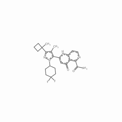 Cc1c(C2(C)CCC2)nn(C2CCC(F)(F)CC2)c1-c1cc(=O)c2c(C(N)=O)nccc2[nH]1